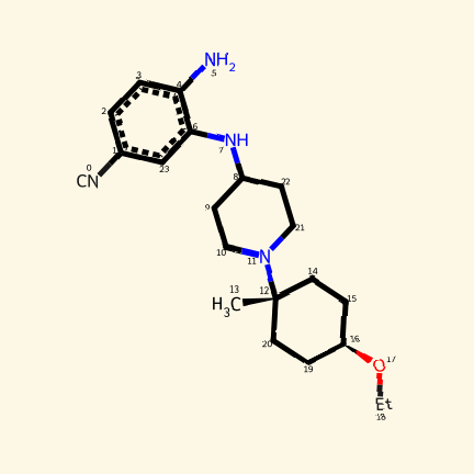 [C-]#[N+]c1ccc(N)c(NC2CCN([C@]3(C)CC[C@@H](OCC)CC3)CC2)c1